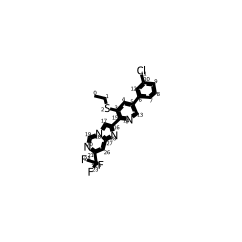 CCSc1cc(-c2cccc(Cl)c2)cnc1-c1cn2cnc(C(F)(F)F)cc2n1